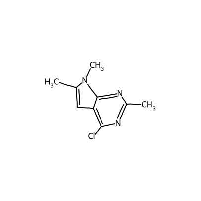 Cc1nc(Cl)c2cc(C)n(C)c2n1